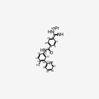 CCCNC(=N)c1ccc(C(=O)Nc2ccc(I)c(-c3ccccn3)c2)cc1